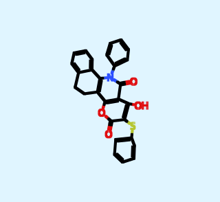 O=c1oc2c3c(n(-c4ccccc4)c(=O)c2c(O)c1Sc1ccccc1)-c1ccccc1CC3